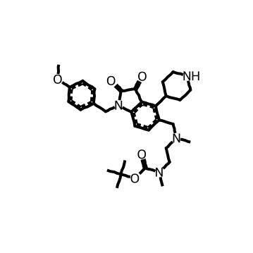 COc1ccc(CN2C(=O)C(=O)c3c2ccc(CN(C)CCN(C)C(=O)OC(C)(C)C)c3C2CCNCC2)cc1